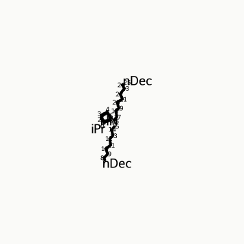 CC(C)c1ccccc1.CCCCCCCCCCCCCCCCCCNCCCCCCCCCCCCCCCCCC